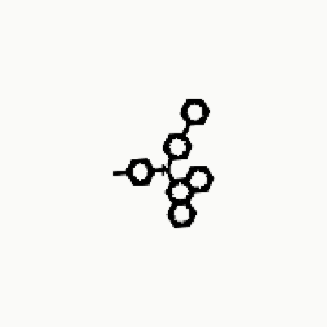 Cc1ccc(N(c2ccc(-c3ccccc3)cc2)c2cc3ccccc3c3ccccc23)cc1